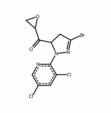 O=C(C1CO1)C1CC(Br)=NN1c1ncc(Cl)cc1Cl